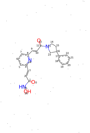 O=C(C=Cc1cccc(C=CC(=O)N2CCC(c3ccccc3)C2)n1)NO